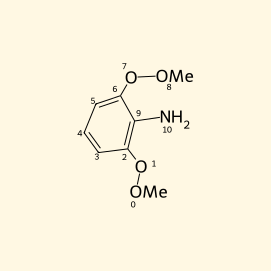 COOc1cccc(OOC)c1N